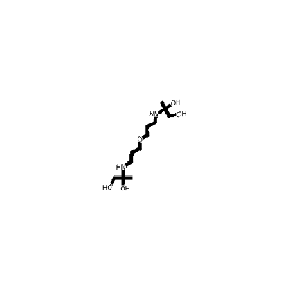 CC(O)(CO)NCCCOCCCNC(C)(O)CO